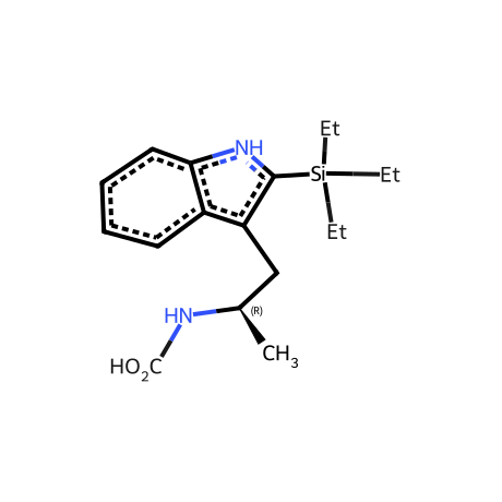 CC[Si](CC)(CC)c1[nH]c2ccccc2c1C[C@@H](C)NC(=O)O